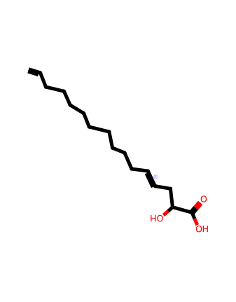 C=CCCCCCCCCC/C=C/CC(O)C(=O)O